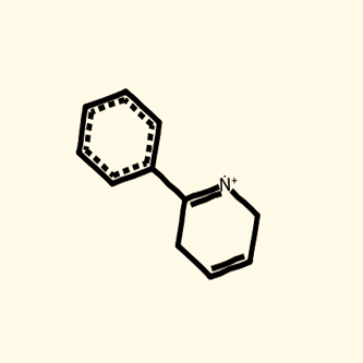 C1=CCC(c2ccccc2)=[N+]C1